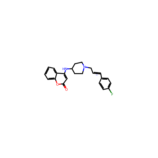 O=c1cc(NC2CCN(C/C=C/c3ccc(F)cc3)CC2)c2ccccc2o1